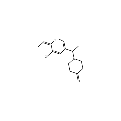 C\C=C(Cl)/C(Cl)=C\C(=C/C)C(C)N1CCC(=O)CC1